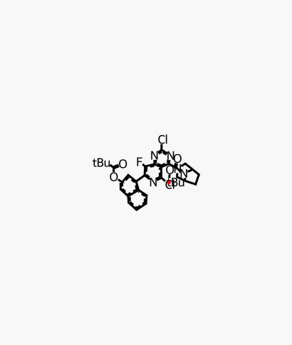 CC(C)(C)OC(=O)N1C2CCC1CN(c1nc(Cl)nc3c(F)c(-c4cc(OC(=O)C(C)(C)C)cc5ccccc45)nc(Cl)c13)C2